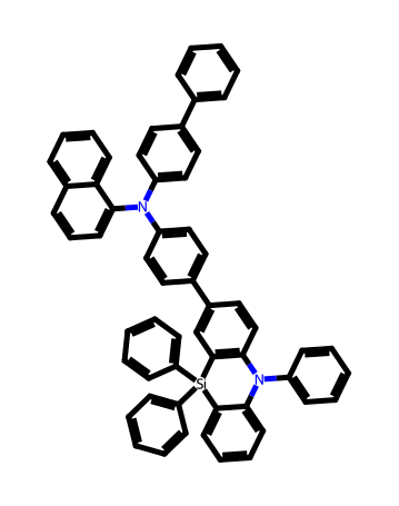 c1ccc(-c2ccc(N(c3ccc(-c4ccc5c(c4)[Si](c4ccccc4)(c4ccccc4)c4ccccc4N5c4ccccc4)cc3)c3cccc4ccccc34)cc2)cc1